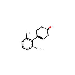 COc1cccc(C)c1C1=CCC(=O)CC1